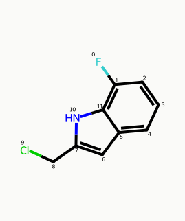 Fc1cccc2cc(CCl)[nH]c12